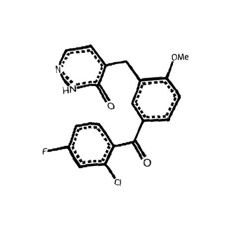 COc1ccc(C(=O)c2ccc(F)cc2Cl)cc1Cc1ccn[nH]c1=O